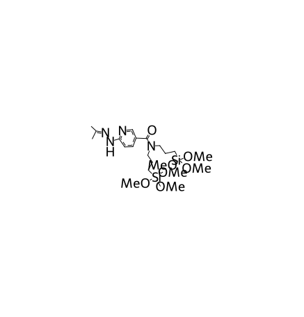 CO[Si](CCCN(CCC[Si](OC)(OC)OC)C(=O)c1ccc(NN=C(C)C)nc1)(OC)OC